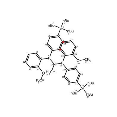 CCCC[Si](CCCC)(CCCC)c1ccc(P(c2ccccc2OC(F)(F)F)N(C)P(c2ccc([Si](CCCC)(CCCC)CCCC)cc2)c2ccccc2OC(F)(F)F)cc1